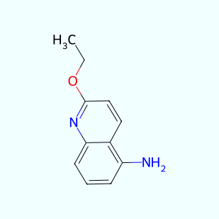 CCOc1ccc2c(N)cccc2n1